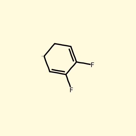 FC1=C[CH]CC=C1F